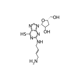 NC/C=C/CNc1nc(S)c2ncn([C@@H]3O[C@H](CO)CC3O)c2n1